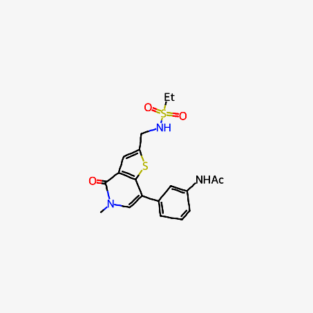 CCS(=O)(=O)NCc1cc2c(=O)n(C)cc(-c3cccc(NC(C)=O)c3)c2s1